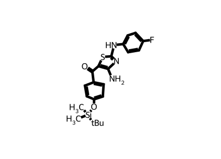 CC(C)(C)[Si](C)(C)Oc1ccc(C(=O)c2sc(Nc3ccc(F)cc3)nc2N)cc1